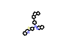 c1ccc2cc(N(c3ccc(-c4ccc5ccc6ccccc6c5c4)cc3)c3ccc4c(c3)sc3cc5ccccc5nc34)ncc2c1